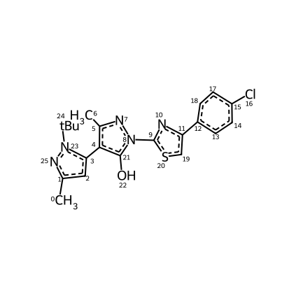 Cc1cc(-c2c(C)nn(-c3nc(-c4ccc(Cl)cc4)cs3)c2O)n(C(C)(C)C)n1